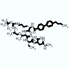 CCCCc1ccc(-c2ccc(C(=O)N[C@@H](CCCCNC(=O)OC(C)(C)C)C(=O)N[C@H](C(=O)N[C@@H](CC)C(=O)NC(CC(=O)NC)C(=O)O)[C@@H](C)OCC(C)C)cc2)cc1